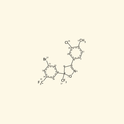 Cc1ccc(C2=NOC(c3cc(Br)cc(C(F)(F)F)c3)(C(F)(F)F)C2)cc1Cl